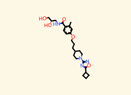 Cc1cc(OCCCC2CCN(c3noc(C4CCC4)n3)CC2)ccc1C(=O)NC[C@H](O)CO